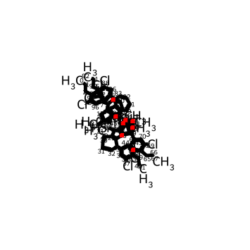 CCCc1c(Cl)cc(C2C=CC=CC3=C2C=C(CC)[C]32[SiH](C)[C]3(C(CC)=CC4=C3C=CC=CC4c3cc(Cl)c(CCC)c(Cl)c3)[Hf]23([Cl])([Cl])[C]2(C(CC)=CC4=C2C=CC=CC4c2cc(Cl)c(CCC)c(Cl)c2)[SiH](C)[C]32C(CC)=CC3=C2C=CC=CC3c2cc(Cl)c(CCC)c(Cl)c2)cc1Cl